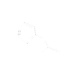 [O-][Br+2]([O-])Oc1ccccc1